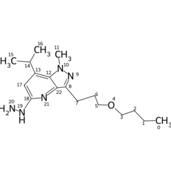 CCCCOCCCc1nn(C)c2c(C(C)C)cc(NN)nc12